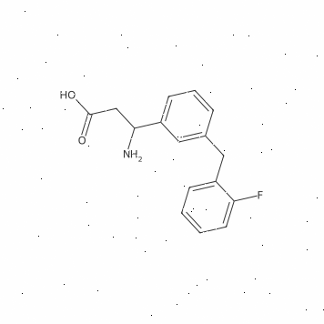 NC(CC(=O)O)c1cccc(Cc2ccccc2F)c1